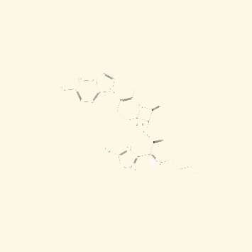 C[C@@]1(NC(=O)/C(=N\OCCF)c2nsc(N)n2)C(=O)N2C(C(=O)O)=C(N3C=CN4NC(N)=CC=C43)CS[C@H]21